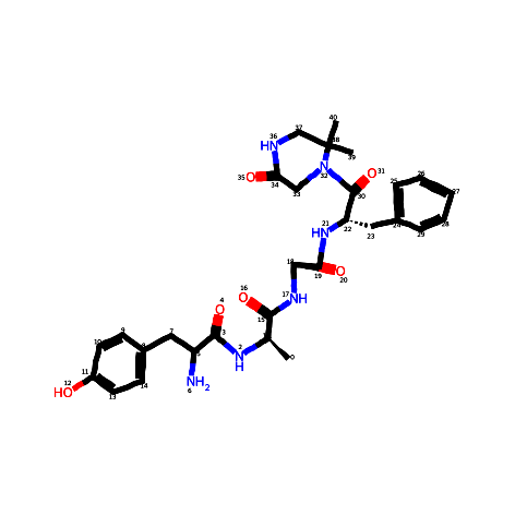 C[C@@H](NC(=O)C(N)Cc1ccc(O)cc1)C(=O)NCC(=O)N[C@@H](Cc1ccccc1)C(=O)N1CC(=O)NCC1(C)C